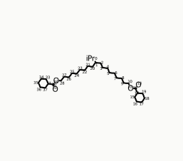 CC(C)C(CCCCCCCCCOC(=O)C1CCCCC1)CCCCCCCCCOC(=O)C1CCCCC1